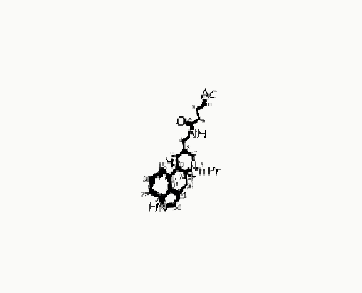 CCCN1C[C@H](CNC(=O)CCCC(C)=O)C[C@@H]2c3cccc4[nH]cc(c34)C[C@H]21